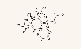 CCCCC1C=CCCC12C=C(C(C)(C)C)C(=O)C(C(C)(C)C)=C2